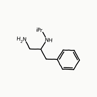 CC(C)NC(CN)Cc1ccccc1